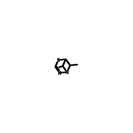 CC1C2SC=NN1C2C